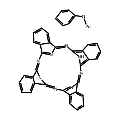 [Pd][O]c1ccccc1.c1ccc2c(c1)-c1nc-2nc2[nH]c(nc3nc(nc4[nH]c(n1)c1ccccc41)-c1ccccc1-3)c1ccccc21